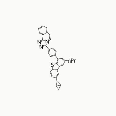 CCCc1cc(-c2ccc(-c3nnc4c5ccccc5ccn34)cc2)c2sc3ccc(C4C5CC54)cc3c2c1